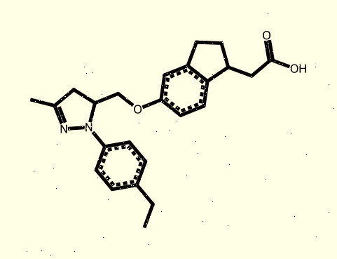 CCc1ccc(N2N=C(C)CC2COc2ccc3c(c2)CCC3CC(=O)O)cc1